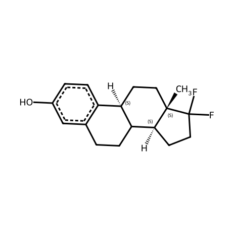 C[C@]12CC[C@@H]3c4ccc(O)cc4CCC3[C@@H]1CCC2(F)F